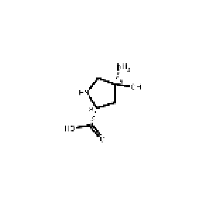 N[C@@]1(O)CN[C@@H](C(=O)O)C1